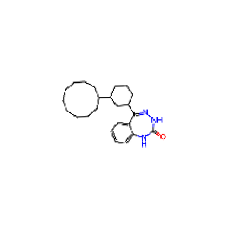 O=C1NN=C(C2CCCC(C3CCCCCCCCC3)C2)c2ccccc2N1